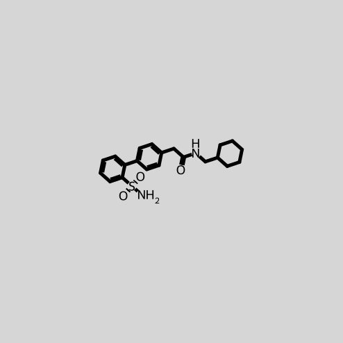 NS(=O)(=O)c1ccccc1-c1ccc(CC(=O)NCC2CCCCC2)cc1